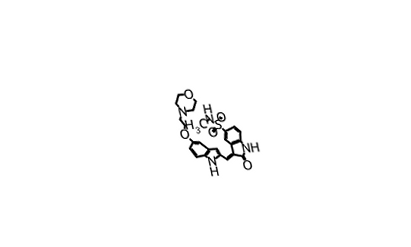 CNS(=O)(=O)c1ccc2c(c1)/C(=C\c1cc3cc(OCCN4CCOCC4)ccc3[nH]1)C(=O)N2